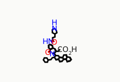 O=C(O)Cc1cc2cc(NC(=O)CCC3CCNCC3)ccc2c(=O)nc1C1Cc2c3c(ccc2=CC1CCC1CCCCC1)=c1ccccc1=CC3